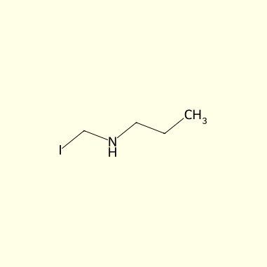 CCCNCI